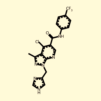 Cc1nn(Cc2c[nH]cn2)c2ncc(C(=O)Nc3ccc(C(F)(F)F)cc3)c(Cl)c12